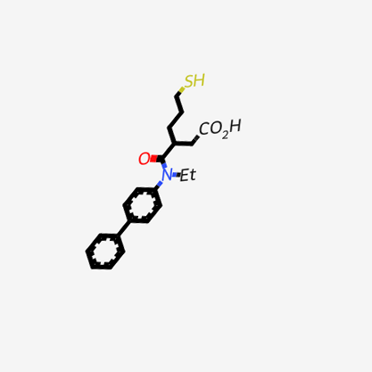 CCN(C(=O)C(CCCS)CC(=O)O)c1ccc(-c2ccccc2)cc1